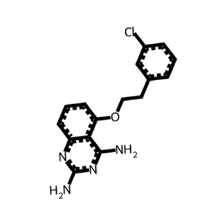 Nc1nc(N)c2c(OCCc3cccc(Cl)c3)cccc2n1